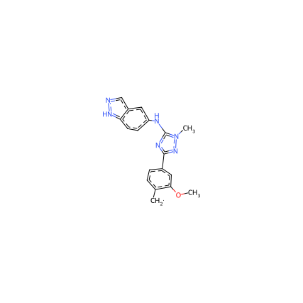 [CH2]c1ccc(-c2nc(Nc3ccc4[nH]ncc4c3)n(C)n2)cc1OC